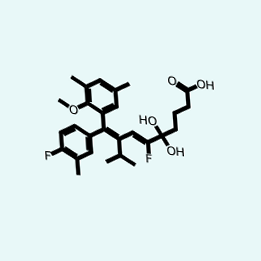 COc1c(C)cc(C)cc1C(=C(C=C(F)C(O)(O)CCCC(=O)O)C(C)C)c1ccc(F)c(C)c1